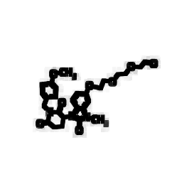 COc1ccc(CN2C(=O)CCC(n3c(=O)n(C)c4cc(OCCOCCOCC=O)ccc43)C2=O)cc1